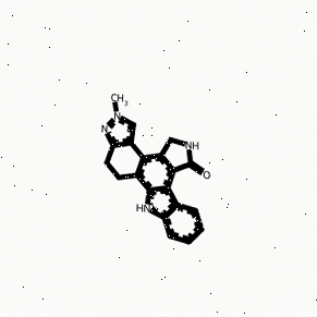 Cn1cc2c(n1)CCc1c-2c2c(c3c1[nH]c1ccccc13)C(=O)NC2